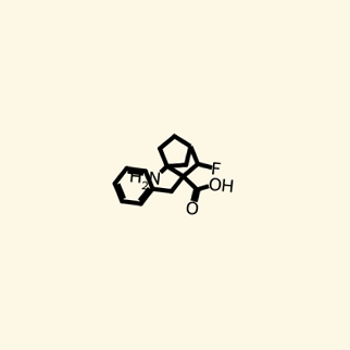 NC12CCC(C1)C(F)C2(Cc1ccccc1)C(=O)O